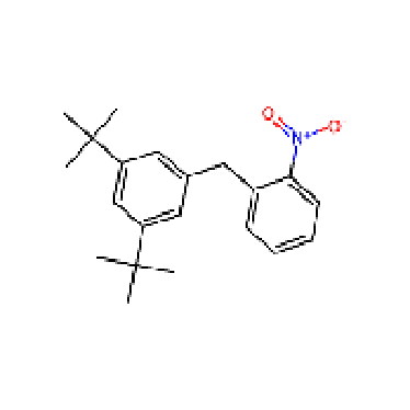 CC(C)(C)c1cc(Cc2ccccc2[N+](=O)[O-])cc(C(C)(C)C)c1